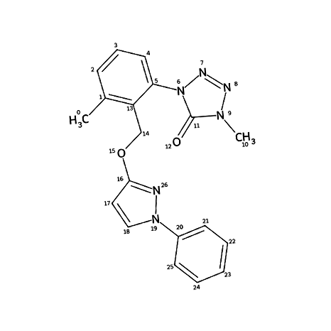 Cc1cccc(-n2nnn(C)c2=O)c1COc1ccn(-c2ccccc2)n1